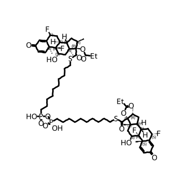 CCC(=O)O[C@]1(C(=O)SCCCCCCCCCCP(=O)(O)OP(=O)(O)CCCCCCCCCCSC(=O)[C@@]2(OC(=O)CC)[C@H](C)C[C@H]3[C@@H]4C[C@H](F)C5=CC(=O)C=C[C@]5(C)[C@@]4(F)[C@@H](O)C[C@@]32C)[C@H](C)C[C@H]2[C@@H]3C[C@H](F)C4=CC(=O)C=C[C@]4(C)[C@@]3(F)[C@@H](O)C[C@@]21C